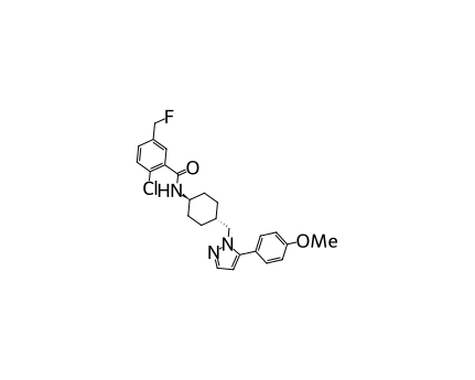 COc1ccc(-c2ccnn2C[C@H]2CC[C@H](NC(=O)c3cc(CF)ccc3Cl)CC2)cc1